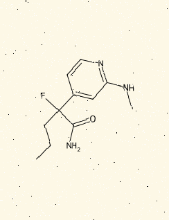 CCCC(F)(C(N)=O)c1ccnc(NC)c1